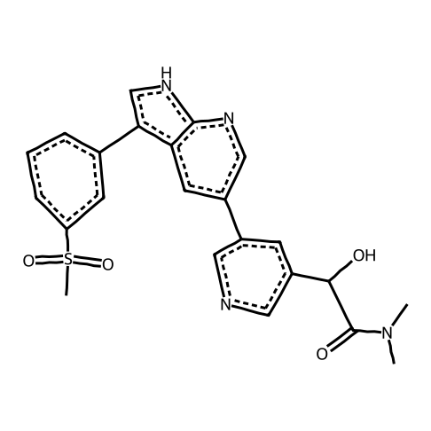 CN(C)C(=O)C(O)c1cncc(-c2cnc3[nH]cc(-c4cccc(S(C)(=O)=O)c4)c3c2)c1